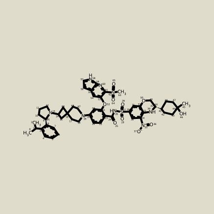 CC(C)c1ccccc1[C@H]1CCCN1C1CC2(CCN(c3ccc(C(=O)NS(=O)(=O)c4cc5c(c([N+](=O)[O-])c4)N[C@@H](C4CCC(C)(O)CC4)CO5)c(Oc4cc5cc[nH]c5nc4S(C)(=O)=O)c3)CC2)C1